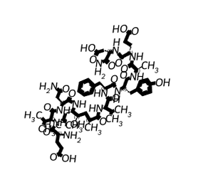 CC(C)C[C@H](NC(=O)[C@H](CC(N)=O)NC(=O)[C@@H](NC(=O)[C@@H](N)CCC(=O)O)C(C)C)[C@@H](O)C[C@@H](C)C(=O)N[C@H](C(=O)N[C@@H](Cc1ccccc1)C(=O)N[C@@H](Cc1ccc(O)cc1)C(=O)N[C@@H](C)C(=O)N[C@@H](CCC(=O)O)C(=O)N[C@@H](CC(=O)O)C(N)=O)C(C)C